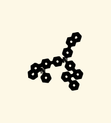 c1ccc(-c2ccccc2-c2ccccc2-c2ccc(N(c3ccc(-c4ccc5ccccc5c4)cc3)c3ccc(-c4ccc5c6ccc7ccccc7c6n(-c6ccccc6)c5c4)cc3)cc2)cc1